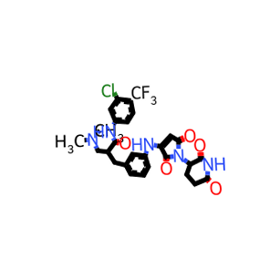 CN(C)CC(Cc1cccc(NC2=CC(=O)N(C3CCC(=O)NC3=O)C2=O)c1)C(=O)Nc1ccc(C(F)(F)F)c(Cl)c1